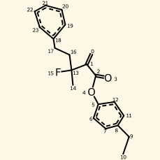 C=C(C(=O)Oc1ccc(CC)cc1)C(C)(F)CCc1ccccc1